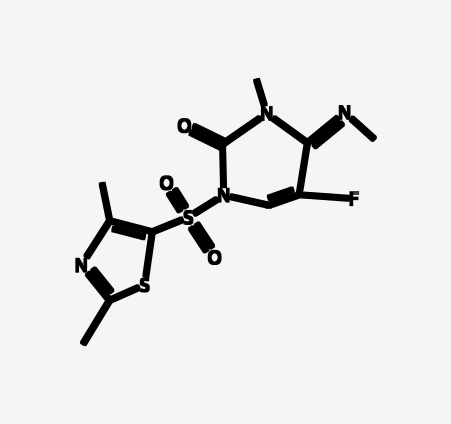 C/N=c1\c(F)cn(S(=O)(=O)c2sc(C)nc2C)c(=O)n1C